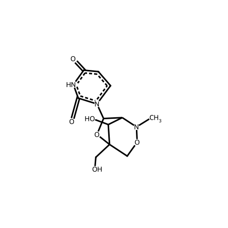 CN1OCC2(CO)OC(n3ccc(=O)[nH]c3=O)C1C2O